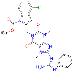 Cn1c(-n2c(N)nc3ccccc32)nc2c1c(=O)n(Cc1cc3c(Cl)cccc3n1C(=O)OC(C)(C)C)c(=O)n2C